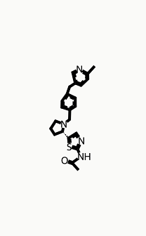 CC(=O)Nc1ncc([C@@H]2CCCN2Cc2ccc(Cc3ccc(C)nc3)cc2)s1